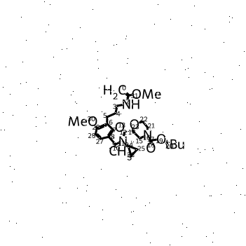 C=C(NCCCc1cc(C(C)N(C(=O)[C@H]2CN(C(=O)OC(C)(C)C)CCO2)C2CC2)ccc1OC)OC